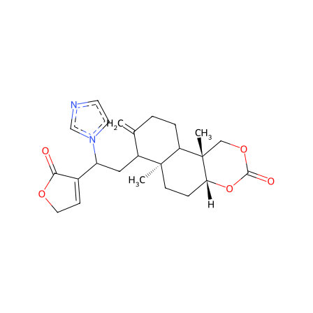 C=C1CCC2[C@@](C)(CC[C@H]3OC(=O)OC[C@@]23C)C1CC(C1=CCOC1=O)n1ccnc1